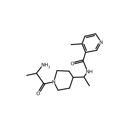 Cc1ccncc1C(=O)NC(C)C1CCN(C(=O)C(C)N)CC1